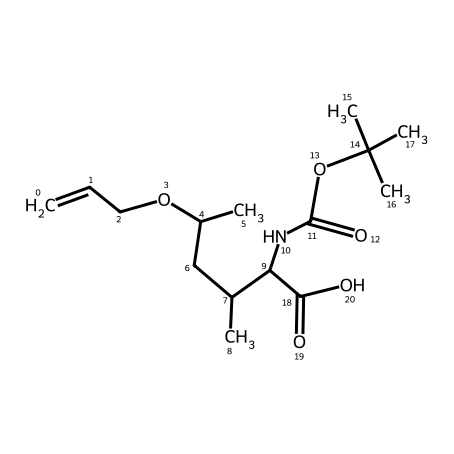 C=CCOC(C)CC(C)C(NC(=O)OC(C)(C)C)C(=O)O